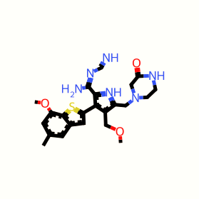 COCc1c(CN2CCNC(=O)C2)[nH]c(/C(N)=N\C=N)c1-c1cc2cc(C)cc(OC)c2s1